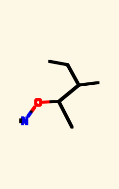 CCC(C)C(C)O[N]